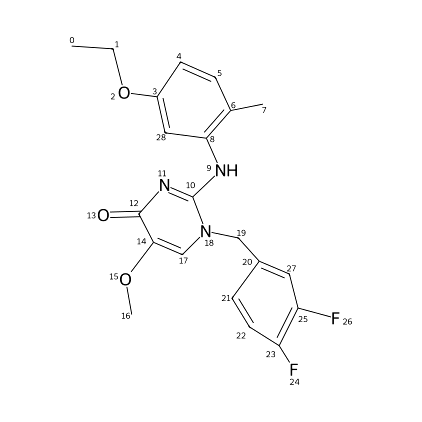 CCOc1ccc(C)c(Nc2nc(=O)c(OC)cn2Cc2ccc(F)c(F)c2)c1